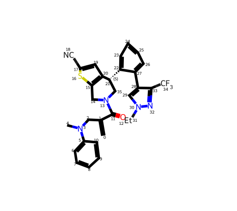 C=C(CN(C)c1ccccc1)C(=O)N1Cc2sc(C#N)cc2[C@H](c2ccccc2-c2cn(CC)nc2C(F)(F)F)C1